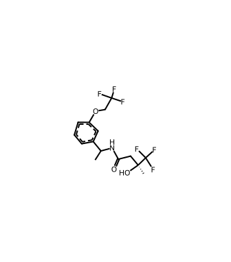 CC(NC(=O)C[C@](C)(O)C(F)(F)F)c1cccc(OCC(F)(F)F)c1